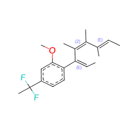 C/C=C(C)/C(C)=C(C)\C(=C/C)c1ccc(C(C)(F)F)cc1OC